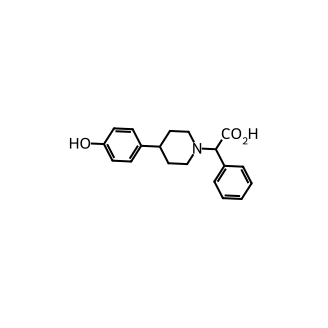 O=C(O)C(c1ccccc1)N1CCC(c2ccc(O)cc2)CC1